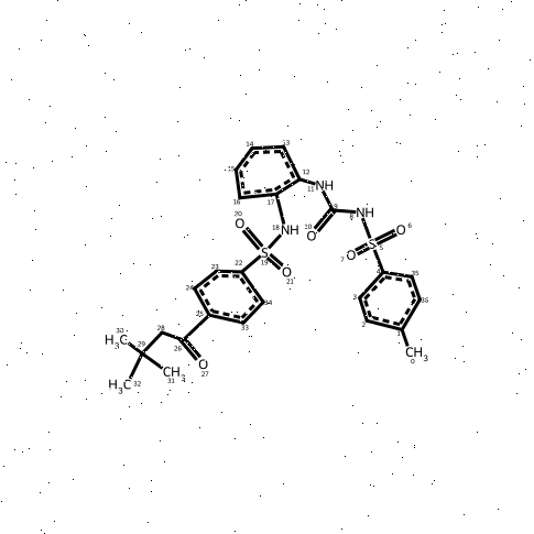 Cc1ccc(S(=O)(=O)NC(=O)Nc2ccccc2NS(=O)(=O)c2ccc(C(=O)CC(C)(C)C)cc2)cc1